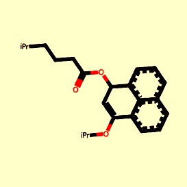 CC(C)CCCC(=O)OC1C=C(OC(C)C)c2cccc3cccc1c23